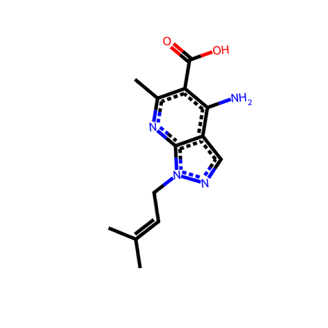 CC(C)=CCn1ncc2c(N)c(C(=O)O)c(C)nc21